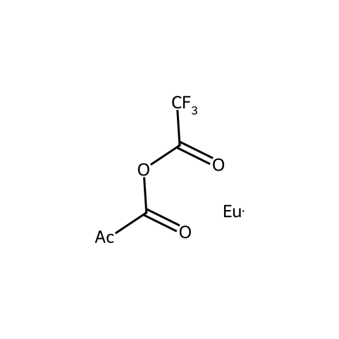 CC(=O)C(=O)OC(=O)C(F)(F)F.[Eu]